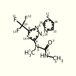 CNC(=O)N(C)c1nnc(C(F)(F)F)s1.c1cscn1